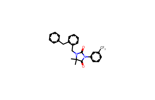 CC1(C)C(=O)N(c2cccc(C(F)(F)F)c2)C(=O)N1Cc1ccccc1Cc1ccccc1